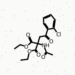 CCOC(=O)C(CC(=O)c1ccccc1Cl)(NC(C)=O)C(=O)OCC